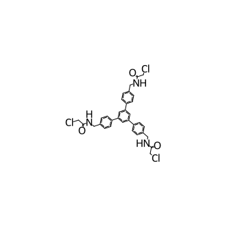 O=C(CCl)NCc1ccc(-c2cc(-c3ccc(CNC(=O)CCl)cc3)cc(-c3ccc(CNC(=O)CCl)cc3)c2)cc1